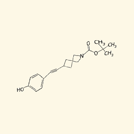 CC(C)(C)OC(=O)N1CC2(CC(C#Cc3ccc(O)cc3)C2)C1